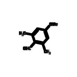 COc1cc(C)c(C=O)c(C)c1